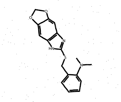 CN(C)c1ccccc1CSc1nc2cc3c(cc2[nH]1)OCO3